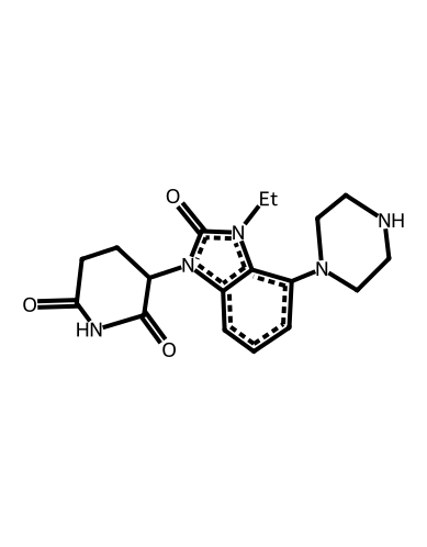 CCn1c(=O)n(C2CCC(=O)NC2=O)c2cccc(N3CCNCC3)c21